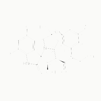 CC(C)(C)CN(C(=O)[C@H]1[C@@H](C(=O)O)C2(C(=O)Nc3c(Cl)cc(Cl)cc32)N2CC(C)(C)C[C@@H]12)c1cc(Cl)cc(Cl)c1